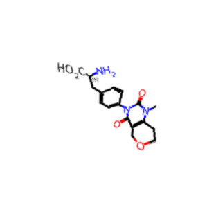 Cn1c2c(c(=O)n(-c3ccc(C[C@H](N)C(=O)O)cc3)c1=O)COCC2